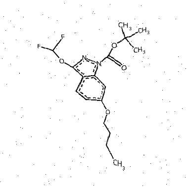 CCCCOc1ccc2c(OC(F)F)nn(C(=O)OC(C)(C)C)c2c1